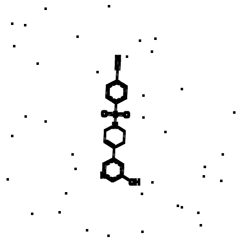 N#Cc1ccc(S(=O)(=O)N2CC=C(c3cncc(O)c3)CC2)cc1